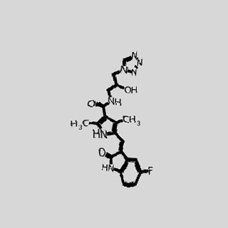 Cc1[nH]c(C=C2C(=O)Nc3ccc(F)cc32)c(C)c1C(=O)NCC(O)Cn1cnnn1